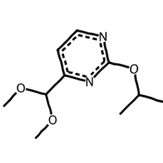 COC(OC)c1ccnc(OC(C)C)n1